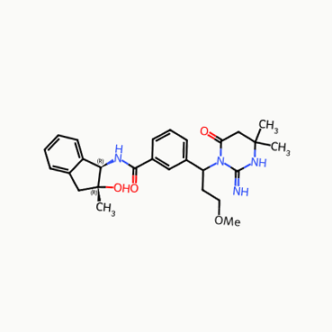 COCCC(c1cccc(C(=O)N[C@@H]2c3ccccc3C[C@@]2(C)O)c1)N1C(=N)NC(C)(C)CC1=O